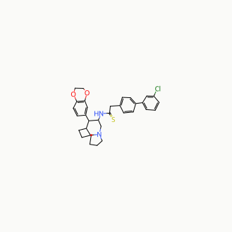 S=C(Cc1ccc(-c2cccc(Cl)c2)cc1)NC(CN1CCCC1)C(c1ccc2c(c1)OCCO2)C1CCC1